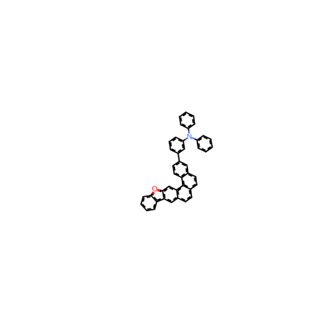 c1ccc(N(c2ccccc2)c2cccc(-c3ccc4c(ccc5ccc6cc7c(cc6c54)oc4ccccc47)c3)c2)cc1